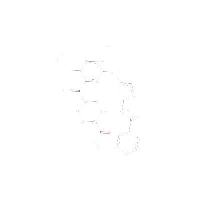 C=CC(=O)N1CCN(C(=O)c2cc(Sc3cnc(NC(=O)c4ccccn4)s3)c(C)cc2OC)CC1